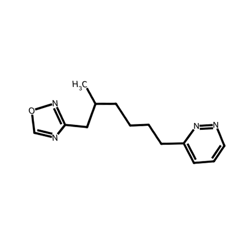 CC(CCCCc1cccnn1)Cc1ncon1